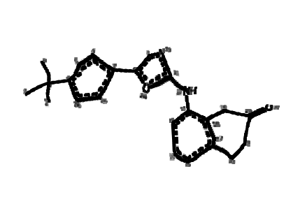 CC(C)(C)c1ccc(-c2cnc(Nc3cccc4c3CC(=O)CC4)o2)cc1